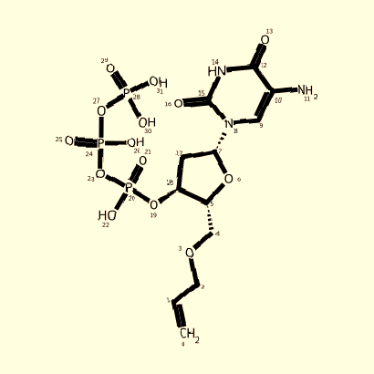 C=CCOC[C@H]1O[C@@H](n2cc(N)c(=O)[nH]c2=O)C[C@@H]1OP(=O)(O)OP(=O)(O)OP(=O)(O)O